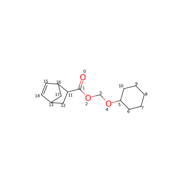 O=C(OCOC1CCCCC1)C1CC2C=CC1C2